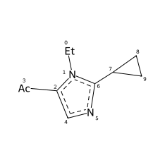 CCn1c(C(C)=O)cnc1C1CC1